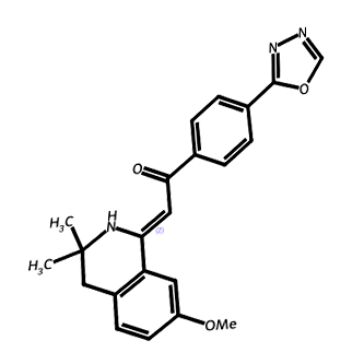 COc1ccc2c(c1)/C(=C/C(=O)c1ccc(-c3nnco3)cc1)NC(C)(C)C2